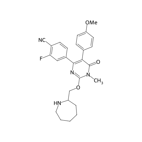 COc1ccc(-c2c(-c3ccc(C#N)c(F)c3)nc(OCC3CCCCCN3)n(C)c2=O)cc1